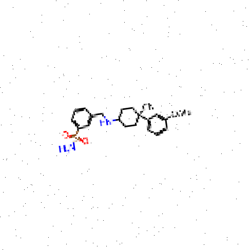 COc1cccc([C@]2(C#N)CC[C@@H](NCc3cccc(S(N)(=O)=O)c3)CC2)c1